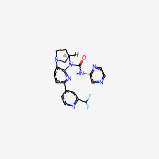 O=C(Nc1cnccn1)N1c2nc(-c3ccnc(C(F)F)c3)ccc2N2CC[C@H]1C2